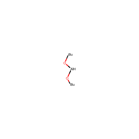 CCC(C)[O][AlH][O]C(C)CC